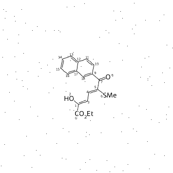 CCOC(=O)C(O)=CC=C(SC)C(=O)c1ccc2ccccc2c1